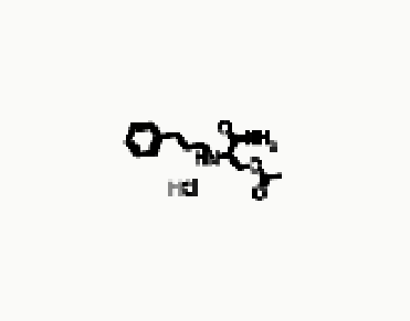 CC(=O)OCC(NCCCc1ccccc1)C(N)=O.Cl